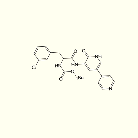 CC(C)(C)OC(=O)NC(Cc1cccc(Cl)c1)C(=O)Nc1cc(-c2ccncc2)c[nH]c1=O